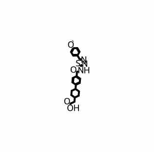 COc1ccc(-c2nnc(NC(=O)c3ccc(C4CCC(CC(=O)O)CC4)cc3)s2)cc1